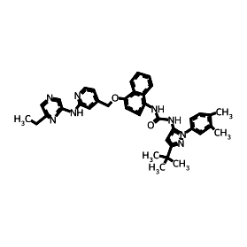 CCc1cncc(Nc2cc(COc3ccc(NC(=O)Nc4cc(C(C)(C)C)nn4-c4ccc(C)c(C)c4)c4ccccc34)ccn2)n1